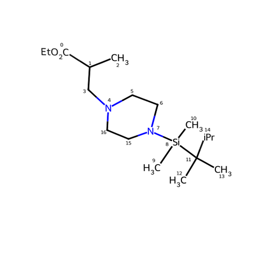 CCOC(=O)C(C)CN1CCN([Si](C)(C)C(C)(C)C(C)C)CC1